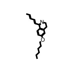 CC=CC=CC1=NCCc2cc(OCCCCCC)ccc21